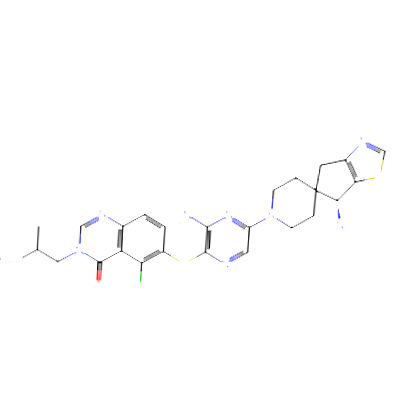 COC(C)Cn1cnc2ccc(Sc3ncc(N4CCC5(CC4)Cc4ncsc4[C@H]5N)nc3N)c(Cl)c2c1=O